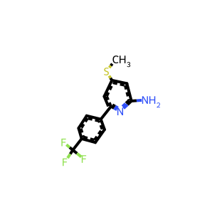 CSc1cc(N)nc(-c2ccc(C(F)(F)F)cc2)c1